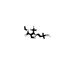 CCOC(=O)c1cnn(/C=C/C(C)(C)N)c1C(F)(F)F